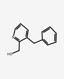 OCc1ncccc1Cc1ccccc1